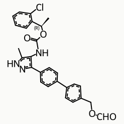 Cc1[nH]nc(-c2ccc(-c3ccc(COC=O)cc3)cc2)c1NC(=O)O[C@H](C)c1ccccc1Cl